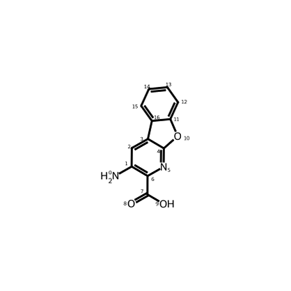 Nc1cc2c(nc1C(=O)O)oc1ccccc12